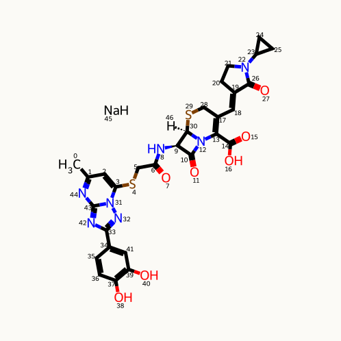 Cc1cc(SCC(=O)N[C@@H]2C(=O)N3C(C(=O)O)=C(/C=C4\CCN(C5CC5)C4=O)CS[C@H]23)n2nc(-c3ccc(O)c(O)c3)nc2n1.[NaH]